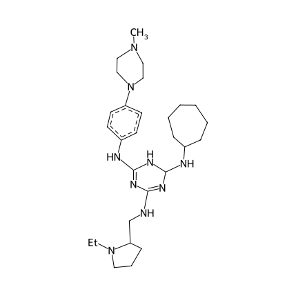 CCN1CCCC1CNC1=NC(NC2CCCCCC2)NC(Nc2ccc(N3CCN(C)CC3)cc2)=N1